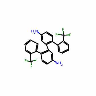 Nc1ccc(-c2ccccc2C(F)(F)F)c(-c2cc(N)ccc2-c2ccccc2C(F)(F)F)c1